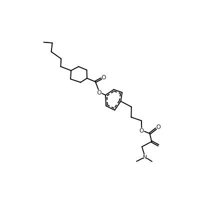 C=C(CN(C)C)C(=O)OCCCc1ccc(OC(=O)C2CCC(CCCCC)CC2)cc1